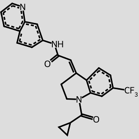 O=C(C=C1CCN(C(=O)C2CC2)c2cc(C(F)(F)F)ccc21)Nc1ccc2cccnc2c1